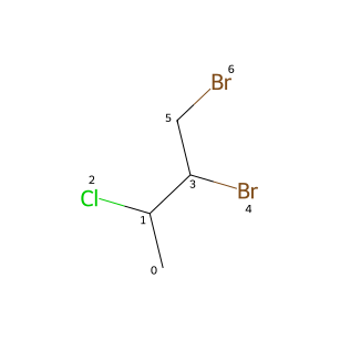 CC(Cl)C(Br)CBr